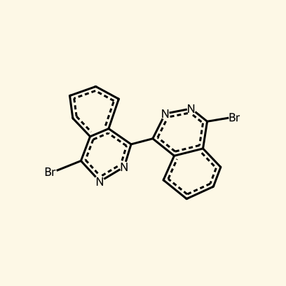 Brc1nnc(-c2nnc(Br)c3ccccc23)c2ccccc12